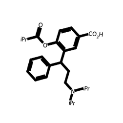 CC(C)C(=O)Oc1ccc(C(=O)O)cc1C(CCN(C(C)C)C(C)C)c1ccccc1